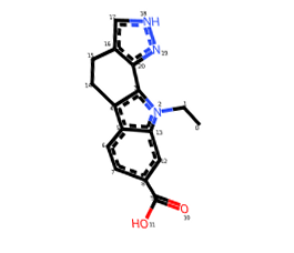 CCn1c2c(c3ccc(C(=O)O)cc31)CCc1c[nH]nc1-2